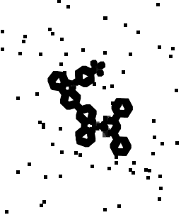 CS(C)(C)c1ccc(-n2c3ccccc3c3ccc(-c4ccc5c(c4)c4ccccc4n5-c4nc(-c5ccccc5)cc(-c5ccccc5)n4)cc32)cc1